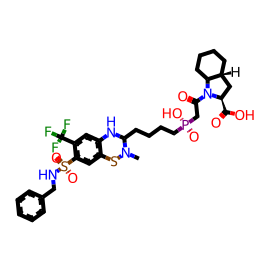 CN1Sc2cc(S(=O)(=O)NCc3ccccc3)c(C(F)(F)F)cc2NC1CCCCP(=O)(O)CC(=O)N1C2CCCC[C@@H]2C[C@H]1C(=O)O